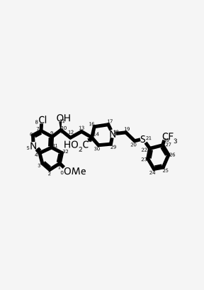 COc1ccc2ncc(Cl)c([C@@H](O)CCC3(C(=O)O)CCN(CCSc4ccccc4C(F)(F)F)CC3)c2c1